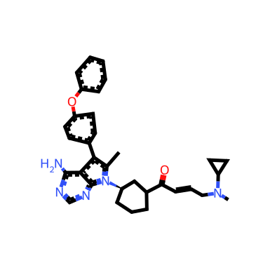 Cc1c(-c2ccc(Oc3ccccc3)cc2)c2c(N)ncnc2n1[C@@H]1CCCC(C(=O)/C=C/CN(C)C2CC2)C1